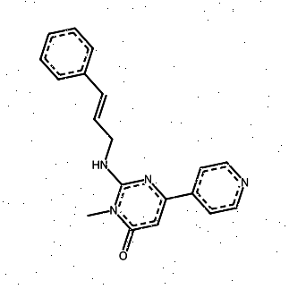 Cn1c(NCC=Cc2ccccc2)nc(-c2ccncc2)cc1=O